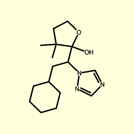 CC1(C)CCOC1(O)C(CC1CCCCC1)n1cncn1